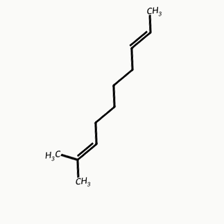 CC=CCCCCC=C(C)C